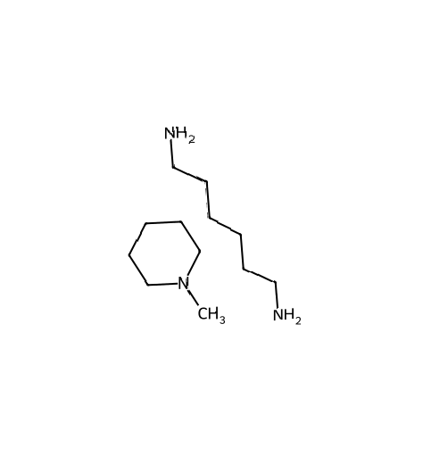 CN1CCCCC1.NCCCCCCN